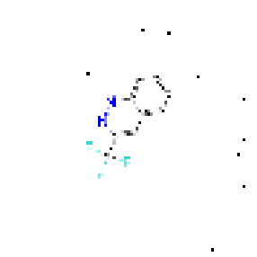 FC(F)(F)c1cc2ccccc2nn1